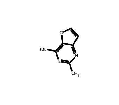 Cc1nc(C(C)(C)C)c2occc2n1